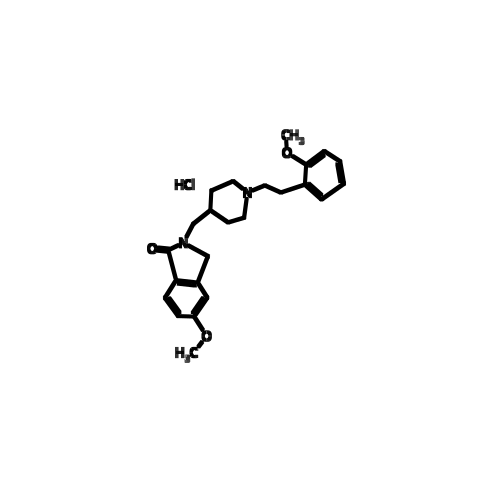 COc1ccc2c(c1)CN(CC1CCN(CCc3ccccc3OC)CC1)C2=O.Cl